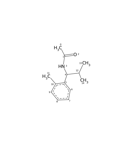 CC(=O)NC(c1ccccc1C)C(C)C